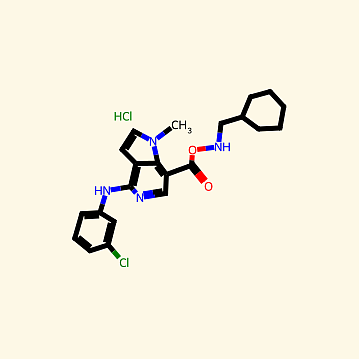 Cl.Cn1ccc2c(Nc3cccc(Cl)c3)ncc(C(=O)ONCC3CCCCC3)c21